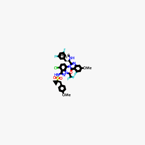 COc1ccc(CC2(S(=O)(=O)Nc3nn(CC(F)F)c4c(-n5c([C@H](Cc6cc(F)cc(F)c6)NC(=O)O)nc6cc(OC)cc(F)c6c5=O)ccc(Cl)c34)CC2)cc1